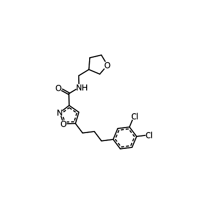 O=C(NCC1CCOC1)c1cc(CCCc2ccc(Cl)c(Cl)c2)on1